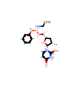 C[C@H]1C[C@@H](CO[P@@](NCC=O)Oc2ccccc2)O[C@H]1n1ccc(=O)[nH]c1=O